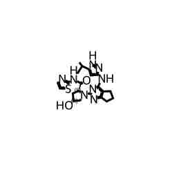 CC(C)c1cc(Nc2nc(N3C[C@H](O)C[C@H]3C(=O)Nc3nccs3)nc3c2CCC3)n[nH]1